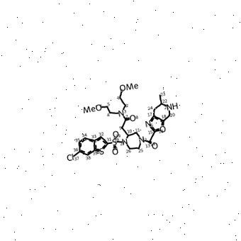 COCCN(CCOC)C(=O)CC1CN(C(=O)c2nc3c(o2)CNC(C)C3)CCN1S(=O)(=O)c1cc2ccc(Cl)cc2s1